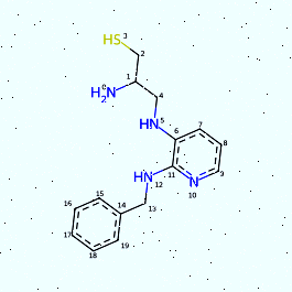 NC(CS)CNc1cccnc1NCc1ccccc1